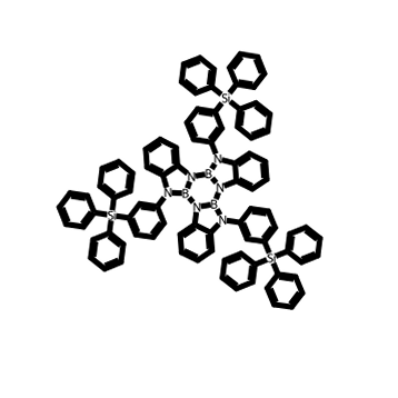 c1ccc([Si](c2ccccc2)(c2ccccc2)c2cccc(N3B4N(B5N(B6N4c4ccccc4N6c4cccc([Si](c6ccccc6)(c6ccccc6)c6ccccc6)c4)c4ccccc4N5c4cccc([Si](c5ccccc5)(c5ccccc5)c5ccccc5)c4)c4ccccc43)c2)cc1